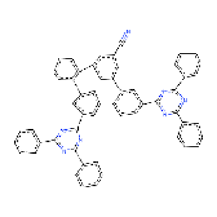 N#Cc1cc(-c2cccc(-c3nc(-c4ccccc4)nc(-c4ccccc4)n3)c2)cc(-c2ccccc2-c2cccc(-c3nc(-c4ccccc4)nc(-c4ccccc4)n3)c2)c1